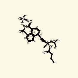 CCCC(=O)OC(C)(C#Cc1ccc2c3c(cccc13)C(=O)N(OS(C)(=O)=O)C2=O)CC(C)C